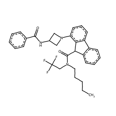 CCCCCN(CC(F)(F)F)C(=O)C1c2ccccc2-c2cccc(N3CC(NC(=O)c4ccccc4)C3)c21